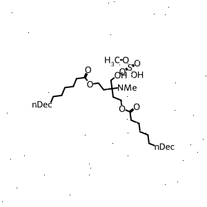 CCCCCCCCCCCCCCCC(=O)OCCC(CO)(CCOC(=O)CCCCCCCCCCCCCCC)NC.COS(=O)(=O)O